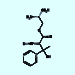 CC(O)(C(=[N+]=[N-])C(=O)OC[C@H](N)C(=O)O)c1ccccc1